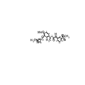 COc1ccc(C(C)CC(=O)Nc2cccc(S(C)(=O)=O)c2)cc1OCc1cnn(C)c1